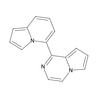 c1cc(-c2nccn3cccc23)n2cccc2c1